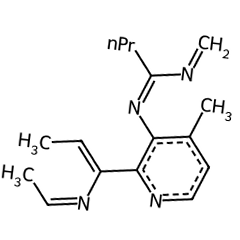 C=N/C(CCC)=N\c1c(C)ccnc1C(=C/C)/N=C\C